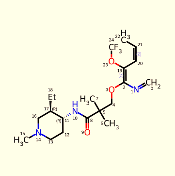 C=N/C(OCC(C)(C)C(=O)N[C@@H]1CCN(C)C[C@H]1CC)=C(\C=C/C)OC(F)(F)F